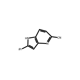 CC(C)c1cc2nc(C#N)ccc2[nH]1